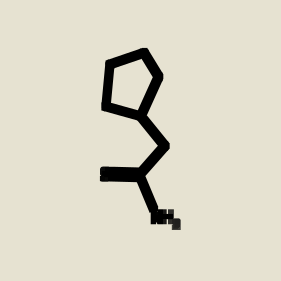 NC(=S)CC1CCCC1